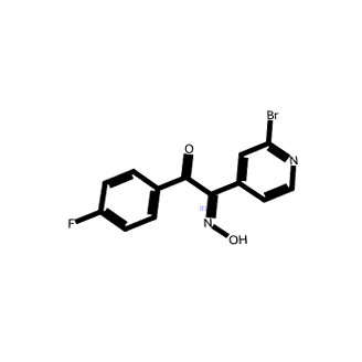 O=C(/C(=N/O)c1ccnc(Br)c1)c1ccc(F)cc1